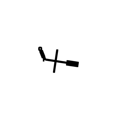 C#CC(C)(C)P=O